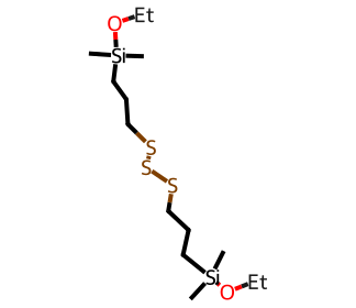 CCO[Si](C)(C)CCCSSSCCC[Si](C)(C)OCC